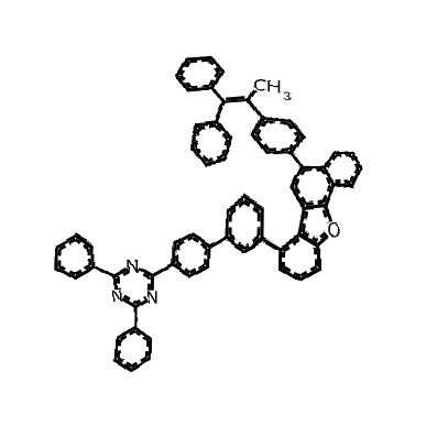 CC(=C(c1ccccc1)c1ccccc1)c1ccc(-c2cc3c(oc4cccc(-c5cccc(-c6ccc(-c7nc(-c8ccccc8)nc(-c8ccccc8)n7)cc6)c5)c43)c3ccccc23)cc1